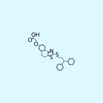 O=C(O)COc1ccc2c(c1)CCc1sc(SCCC(c3ccccc3)c3ccccc3)nc1-2